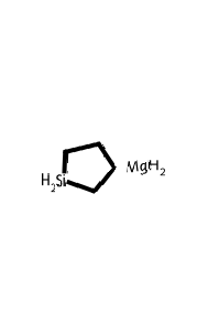 C1CC[SiH2]C1.[MgH2]